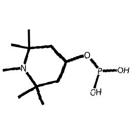 CN1C(C)(C)CC(OP(O)O)CC1(C)C